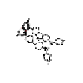 Cc1ccc(N(C)c2ccc3c(c2)C2(c4cc(N(C)c5ccc(C)cc5)ccc4-3)c3cc(N(C)c4ccc(C)cc4)ccc3-c3ccc(N(C)c4ccc(C)cc4)cc32)cc1